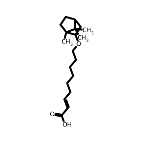 CC1(C)C2CCC1(C)C(OCCCCCCC=CC(=O)O)C2